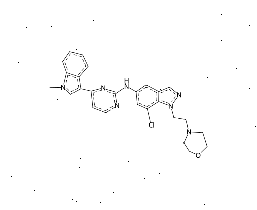 Cn1cc(-c2ccnc(Nc3cc(Cl)c4c(cnn4CCN4CCOCC4)c3)n2)c2ccccc21